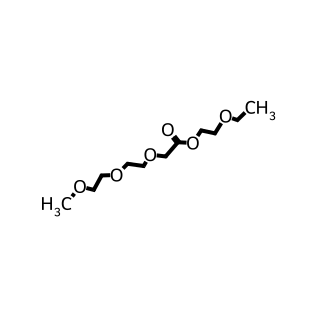 CCOCCOC(=O)COCCOCCOC